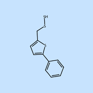 SSCc1ccc(-c2ccccc2)s1